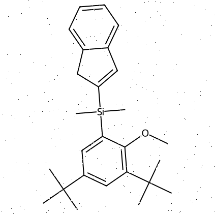 COc1c(C(C)(C)C)cc(C(C)(C)C)cc1[Si](C)(C)C1=Cc2ccccc2C1